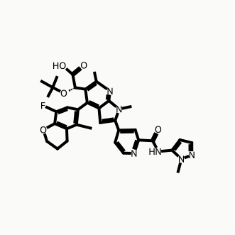 Cc1nc2c(cc(-c3ccnc(C(=O)Nc4ccnn4C)c3)n2C)c(-c2cc(F)c3c(c2C)CCCO3)c1[C@H](OC(C)(C)C)C(=O)O